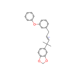 CC(C)(/C=C/Cc1cccc(Oc2ccccc2)c1)c1ccc2c(c1)OCO2